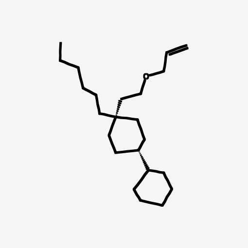 C=CCOCC[C@]1(CCCCCC)CC[C@H](C2CCCCC2)CC1